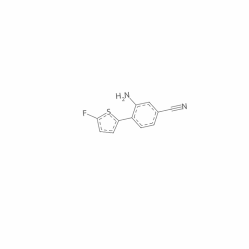 N#Cc1ccc(-c2ccc(F)s2)c(N)c1